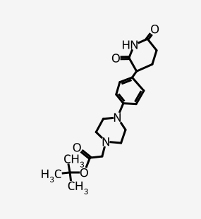 CC(C)(C)OC(=O)CN1CCN(c2ccc(C3CCC(=O)NC3=O)cc2)CC1